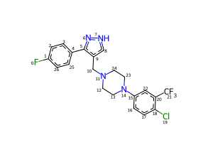 Fc1ccc(-c2n[nH]cc2CN2CCN(c3ccc(Cl)c(C(F)(F)F)c3)CC2)cc1